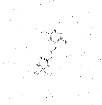 CC(C)(C)OC(=O)CCOc1nc(Cl)ncc1Br